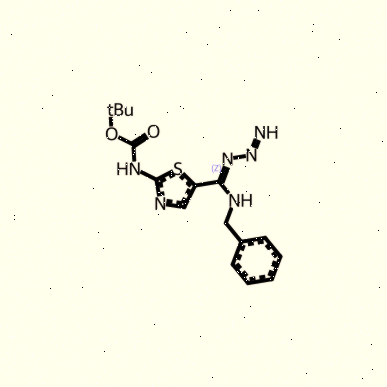 CC(C)(C)OC(=O)Nc1ncc(/C(=N/N=N)NCc2ccccc2)s1